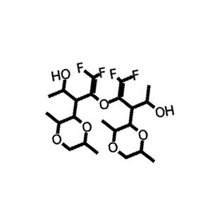 CC1COC(C)C(C(C(OC(=C(F)F)C(C(C)O)C2OC(C)COC2C)=C(F)F)C(C)O)O1